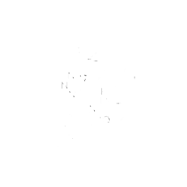 CCSC(=S)SC1CC(=O)N1C(c1nnnn1Cc1ccccc1)[PH](c1ccccc1)(c1ccccc1)c1ccccc1